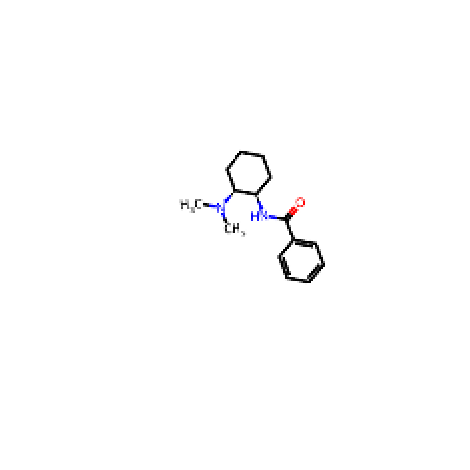 CN(C)[C@H]1CCCC[C@H]1NC(=O)c1ccccc1